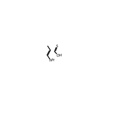 CC=CCCC.OC=S